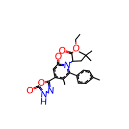 CCOC(=O)C(CC(C)(C)C)n1c(-c2ccc(C)cc2)c(C)c(-c2n[nH]c(=O)o2)cc1=O